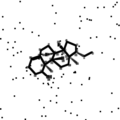 CC[C@H]1CC[C@H]2[C@@H]3CCC4=CCCC(O)[C@]4(C)[C@H]3CC[C@]12C